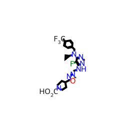 O=C(O)N1CCC(C2=NN(CNc3ncnc(N(Cc4ccc(C(F)(F)F)cc4)C4CC4)c3F)CO2)CC1